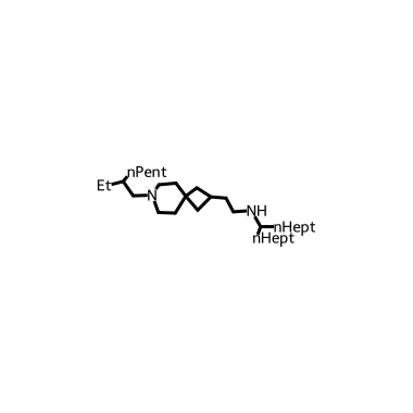 CCCCCCCC(CCCCCCC)NCCC1CC2(CCN(CC(CC)CCCCC)CC2)C1